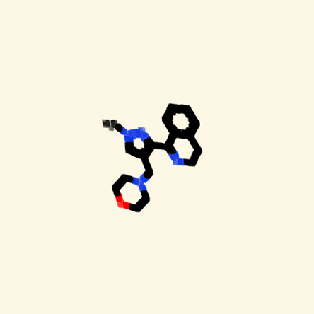 Cn1cc(CN2CCOCC2)c(C2=NCCc3ccccc32)n1